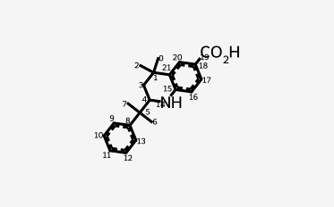 CC1(C)CC(C(C)(C)c2ccccc2)Nc2ccc(C(=O)O)cc21